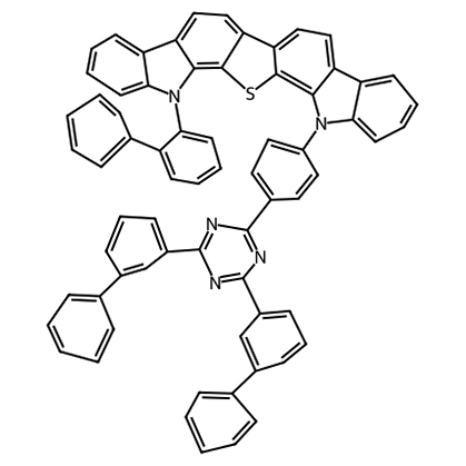 c1ccc(-c2cccc(-c3nc(-c4ccc(-n5c6ccccc6c6ccc7c8ccc9c%10ccccc%10n(-c%10ccccc%10-c%10ccccc%10)c9c8sc7c65)cc4)nc(-c4cccc(-c5ccccc5)c4)n3)c2)cc1